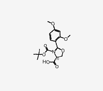 COc1ccc(C2OC[C@@H](C(=O)O)N2C(=O)OC(C)(C)C)c(OC)c1